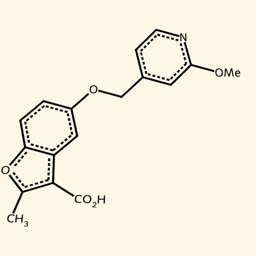 COc1cc(COc2ccc3oc(C)c(C(=O)O)c3c2)ccn1